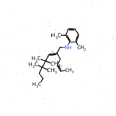 C/C=C\C/C(=C\C(C)(C)C(C)(C)CCC)CNc1c(C)cccc1C